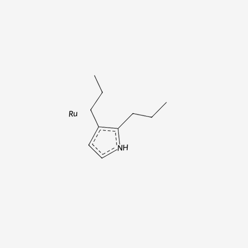 CCCc1cc[nH]c1CCC.[Ru]